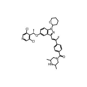 CC1CN(C(=O)c2ccc(/C(F)=C/c3nn(C4CCCCO4)c4ccc(O[C@H](C)c5c(Cl)cncc5Cl)cc34)cc2)CC(C)N1